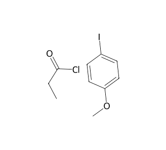 CCC(=O)Cl.COc1ccc(I)cc1